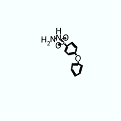 NNS(=O)(=O)c1ccc(Oc2ccccc2)cc1